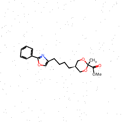 COC(=O)[C@]1(C)OC[C@@H](CCCCc2coc(-c3ccccc3)n2)CO1